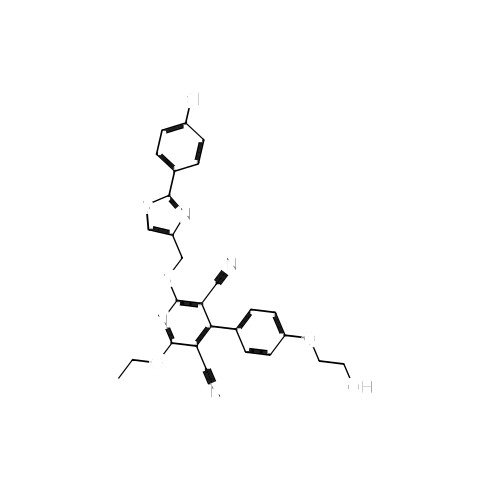 CCOc1nc(SCc2csc(-c3ccc(Cl)cc3)n2)c(C#N)c(-c2ccc(OCCO)cc2)c1C#N